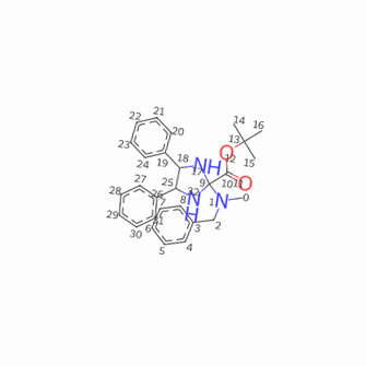 CN(Cc1ccccc1)C1(C(=O)OC(C)(C)C)NC(c2ccccc2)C(c2ccccc2)N1